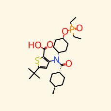 CCP(=O)(CC)O[C@H]1CC[C@H](N(c2cc(C(C)(C)C)sc2C(=O)O)C(=O)[C@H]2CC[C@H](C)CC2)CC1